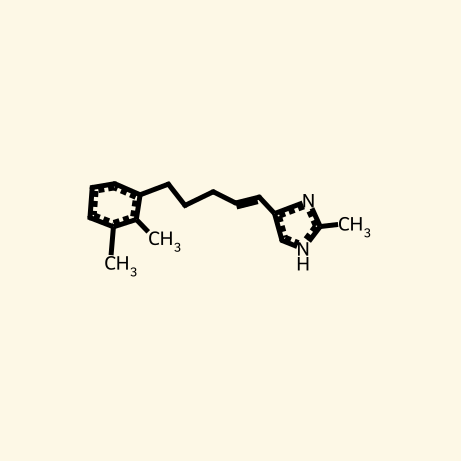 Cc1nc(C=CCCCc2cccc(C)c2C)c[nH]1